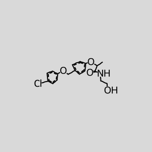 CC(Oc1ccc(COc2ccc(Cl)cc2)cc1)C(=O)NCCO